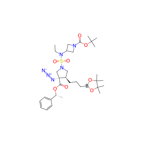 CCN(C1CN(C(=O)OC(C)(C)C)C1)S(=O)(=O)N1C[C@@H](CCCB2OC(C)(C)C(C)(C)O2)[C@@](N=[N+]=[N-])(C(=O)O[C@H](C)c2ccccc2)C1